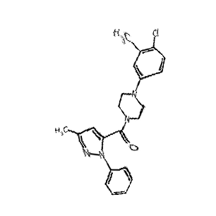 Cc1cc(C(=O)N2CCN(c3ccc(Cl)c(C)c3)CC2)n(-c2ccccc2)n1